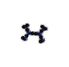 c1ccc2c(-c3ccc(-c4cc(-c5ccc(-c6ccc(-c7cc(-c8ccc(-c9nccc%10ccccc9%10)cc8)nc(-c8ccc(-n9c%10ccccc%10c%10ccccc%109)cc8)n7)cc6)cc5)nc(-c5ccc(-n6c7ccccc7c7ccccc76)cc5)n4)cc3)nccc2c1